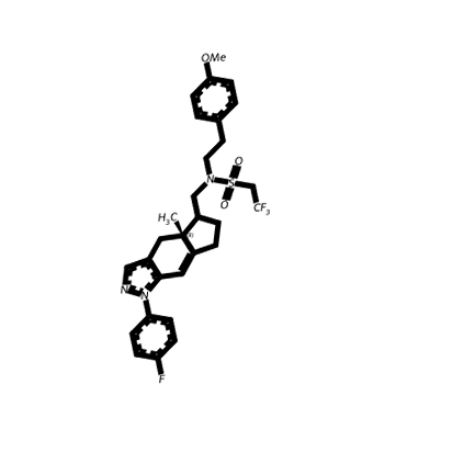 COc1ccc(CCN(CC2CCC3=Cc4c(cnn4-c4ccc(F)cc4)C[C@@]32C)S(=O)(=O)CC(F)(F)F)cc1